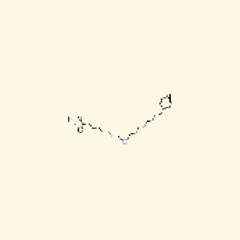 NC(=O)CCCCCCC/C=C\CCCCCCCCc1ccncc1